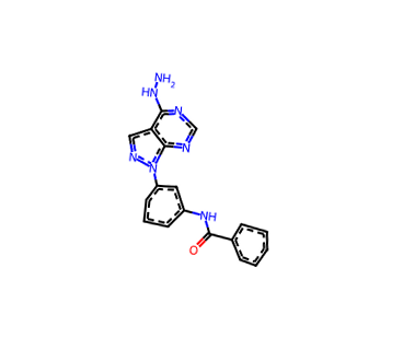 NNc1ncnc2c1cnn2-c1cccc(NC(=O)c2ccccc2)c1